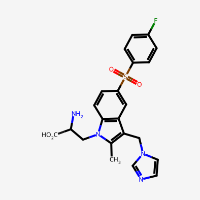 Cc1c(Cn2ccnc2)c2cc(S(=O)(=O)c3ccc(F)cc3)ccc2n1CC(N)C(=O)O